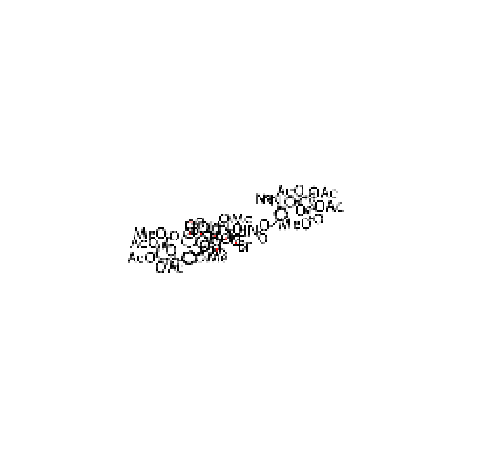 COC(=O)[C@H]1O[C@@H](Oc2ccc(COC(=O)N(CCS(C)(=O)=O)CO[C@]3(CBr)C4(CNC(=O)OCc5ccc(O[C@@H]6O[C@H](C(=O)OC)[C@@H](OC(C)=O)[C@H](OC(C)=O)[C@H]6OC(C)=O)c(N=[N+]=[N-])c5)OC5c6c(C)cc7c(OC)c8c(c(O)c7c6O[C@]3(OC)C5O4)C(=O)CCC8)cc2)[C@H](OC(C)=O)[C@@H](OC(C)=O)[C@@H]1OC(C)=O